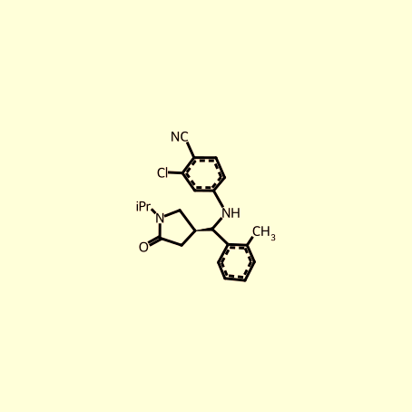 Cc1ccccc1C(Nc1ccc(C#N)c(Cl)c1)[C@H]1CC(=O)N(C(C)C)C1